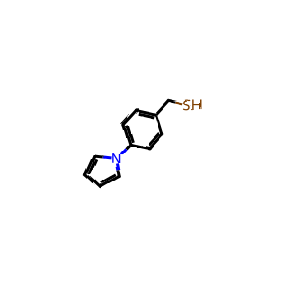 SCc1ccc(-n2cccc2)cc1